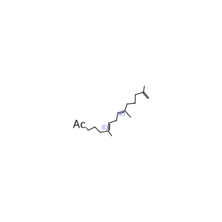 C=C(C)CCC/C(C)=C/C/C=C(\C)CCCC(C)=O